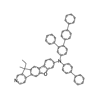 CCC1(C)c2cnccc2-c2cc3oc4cc(N(c5ccc(-c6ccccc6)cc5)c5ccc(-c6ccc(-c7ccccc7)cc6)c(-c6ccccc6)c5)ccc4c3cc21